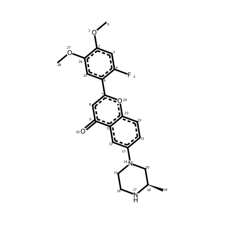 COc1cc(F)c(-c2cc(=O)c3cc(N4CCN[C@H](C)C4)ccc3o2)cc1OC